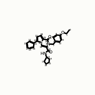 CCOc1ccc(Cn2c(C(=O)NC3CCCC3)cn3c(-c4ccccc4)ccc3c2=O)cc1